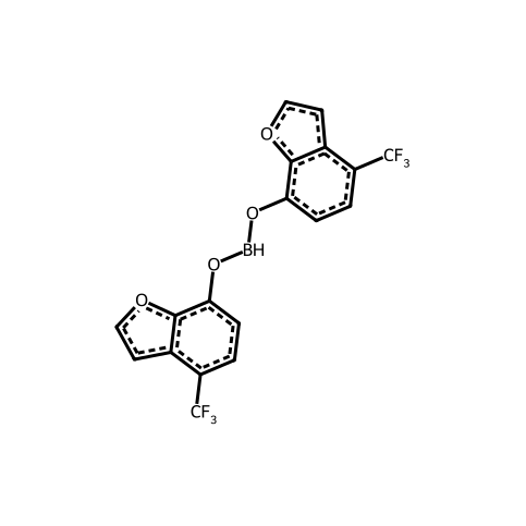 FC(F)(F)c1ccc(OBOc2ccc(C(F)(F)F)c3ccoc23)c2occc12